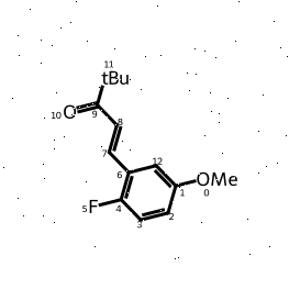 COc1ccc(F)c(C=CC(=O)C(C)(C)C)c1